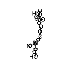 O=C1CCC(N2C(=O)c3ccc(OCCOCCOc4ccc(-n5cc(-c6ccc7c(c6)CC/C7=N\O)c(-c6ccncc6)n5)cc4)cc3C2=O)C(=O)N1